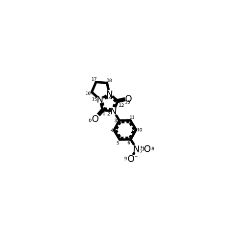 O=c1n(-c2ccc([N+](=O)[O-])cc2)c(=O)n2n1CCC2